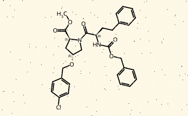 COC(=O)[C@@H]1C[C@@H](OCc2ccc(Cl)cc2)CN1C(=O)[C@@H](CCc1ccccc1)NC(=O)OCc1ccccc1